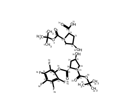 CC(C)(C)OC(=O)N1C[C@H](O)C[C@H]1C(=O)O.CC(C)(C)OC(=O)N1C[C@H](O)C[C@H]1C(=O)Oc1c(F)c(F)c(F)c(F)c1F